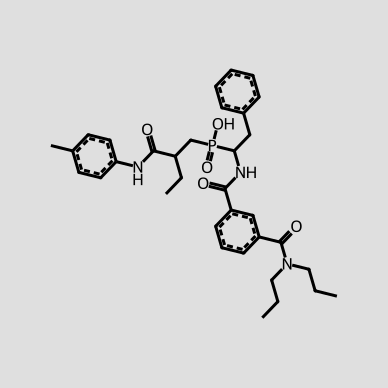 CCCN(CCC)C(=O)c1cccc(C(=O)NC(Cc2ccccc2)P(=O)(O)CC(CC)C(=O)Nc2ccc(C)cc2)c1